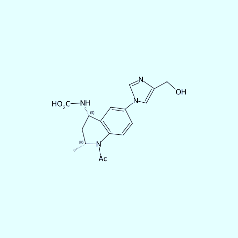 CC(=O)N1c2ccc(-n3cnc(CO)c3)cc2[C@@H](NC(=O)O)C[C@H]1C